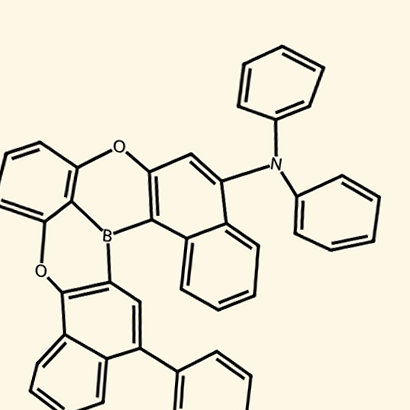 c1ccc(-c2cc3c(c4ccccc24)Oc2cccc4c2B3c2c(cc(N(c3ccccc3)c3ccccc3)c3ccccc23)O4)cc1